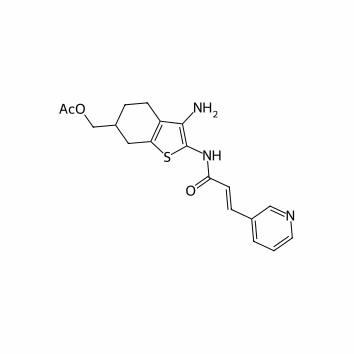 CC(=O)OCC1CCc2c(sc(NC(=O)/C=C/c3cccnc3)c2N)C1